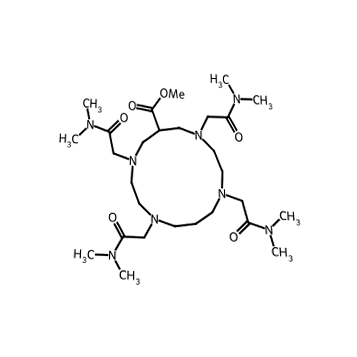 COC(=O)C1CN(CC(=O)N(C)C)CCN(CC(=O)N(C)C)CCCN(CC(=O)N(C)C)CCN(CC(=O)N(C)C)C1